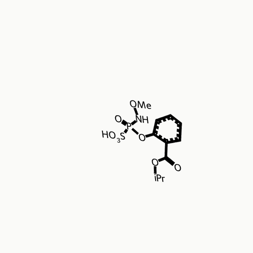 CONP(=O)(Oc1ccccc1C(=O)OC(C)C)S(=O)(=O)O